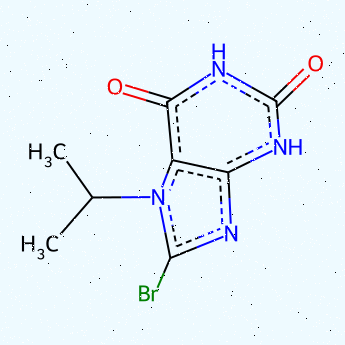 CC(C)n1c(Br)nc2[nH]c(=O)[nH]c(=O)c21